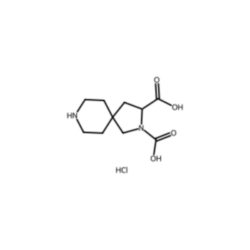 Cl.O=C(O)C1CC2(CCNCC2)CN1C(=O)O